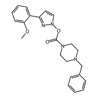 COc1ccccc1-c1ccn(OC(=O)N2CCN(Cc3ccccc3)CC2)n1